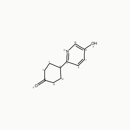 O=C1CCC(c2ccc(O)cn2)CC1